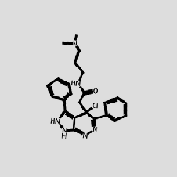 CN(C)CCCNC(=O)CC1(Cl)C(c2ccccc2)=NN=C2NNC(c3ccccc3)=C21